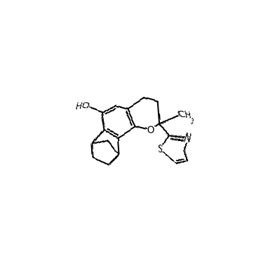 CC1(c2nccs2)CCc2cc(O)c3c(c2O1)C1CCC3C1